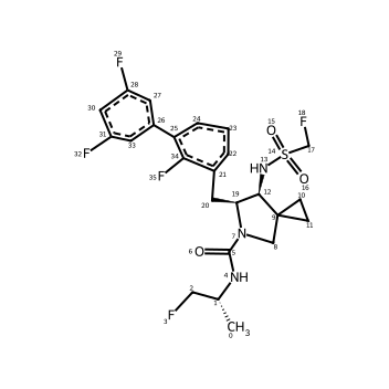 C[C@H](CF)NC(=O)N1CC2(CC2)[C@H](NS(=O)(=O)CF)[C@@H]1Cc1cccc(-c2cc(F)cc(F)c2)c1F